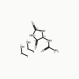 CCO.CCO.NC(=O)NC1NC(=O)NC1=O